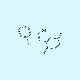 O=C1C=CC(=O)C(C=C(O)c2ccccc2Cl)=C1